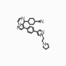 N#CC1CCC(c2nccn3ncc(-c4ccc(-c5cnn(CCN6CCCC6)c5)cc4)c23)CC1